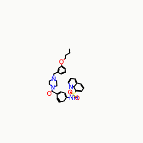 CCCCOc1cccc(CN2CCN(C(=O)C3=CC=C(NS(=O)(=O)c4cccc5cccnc45)CC#C3)CC2)c1